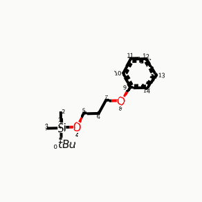 CC(C)(C)[Si](C)(C)OCCCOc1cc[c]cc1